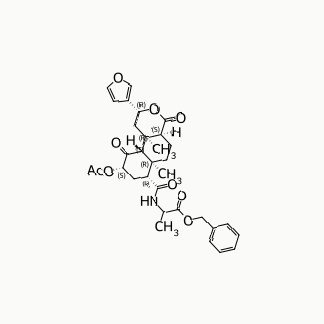 CC(=O)O[C@H]1C[C@@H](C(=O)NC(C)C(=O)OCc2ccccc2)[C@]2(C)CC[C@@H]3C(=O)O[C@@H](c4ccoc4)C[C@]3(C)[C@H]2C1=O